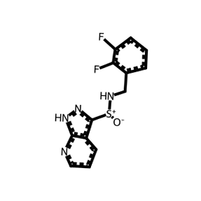 [O-][S+](NCc1cccc(F)c1F)c1n[nH]c2ncccc12